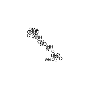 COC(=O)N[C@@H](C(=O)NCCOCCC1=NCC(c2ccc3c(c2)Oc2ccc(C4CN=C([C@@H]5COCCN5C(=O)[C@H](NC(=O)OC)c5ccccc5)N4)cc2O3)N1)c1ccccc1